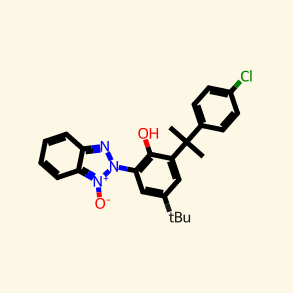 CC(C)(C)c1cc(-n2nc3ccccc3[n+]2[O-])c(O)c(C(C)(C)c2ccc(Cl)cc2)c1